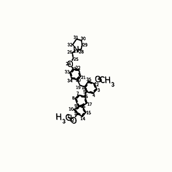 COc1ccc(-c2ccc3cc(OC)ccc3c2)c(Cc2ccc(OCCN3CCCCC3)cc2)c1